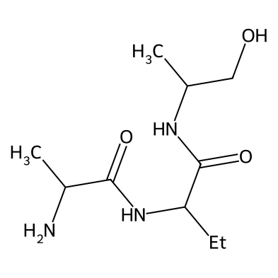 CCC(NC(=O)C(C)N)C(=O)NC(C)CO